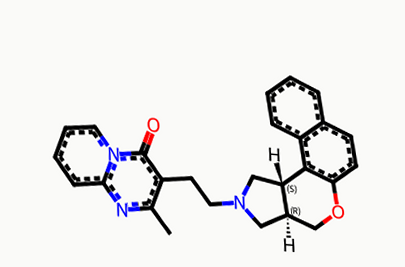 Cc1nc2ccccn2c(=O)c1CCN1C[C@@H]2COc3ccc4ccccc4c3[C@H]2C1